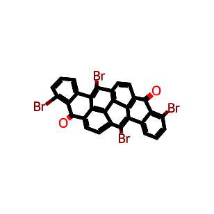 O=c1c2ccc3c(Br)c4c5cccc(Br)c5c(=O)c5ccc6c(Br)c(c7cccc(Br)c17)c2c3c6c54